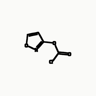 O=C(Cl)Oc1ccon1